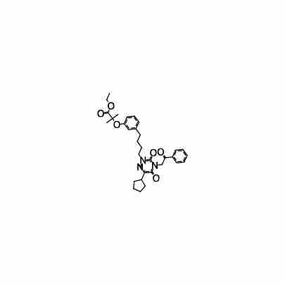 CCOC(=O)C(C)(C)Oc1cccc(CCCCn2nc(C3CCCC3)c(=O)n(CC(=O)c3ccccc3)c2=O)c1